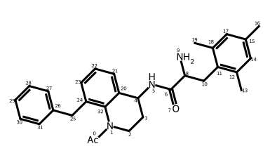 CC(=O)N1CCC(NC(=O)C(N)Cc2c(C)cc(C)cc2C)c2cccc(Cc3ccccc3)c21